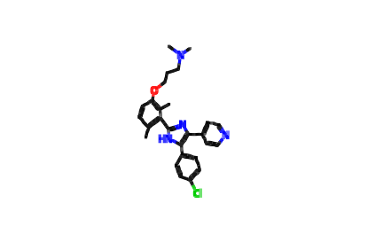 Cc1ccc(OCCCN(C)C)c(C)c1-c1nc(-c2ccncc2)c(-c2ccc(Cl)cc2)[nH]1